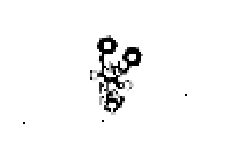 O=C(NCc1ccccc1)c1nc2n(c(=O)c1OCc1ccccc1)CC1CCN2CC1